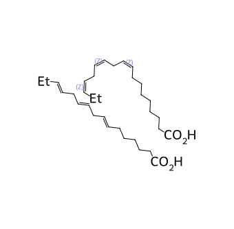 CC/C=C\C/C=C\C/C=C\CCCCCCCC(=O)O.CCC=CCC=CCC=CCCCCCC(=O)O